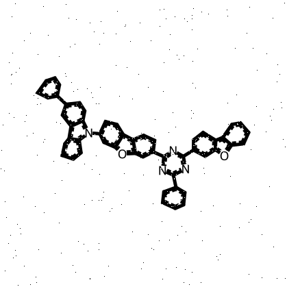 c1ccc(-c2ccc3c(c2)c2ccccc2n3-c2ccc3c(c2)oc2cc(-c4nc(-c5ccccc5)nc(-c5ccc6c(c5)oc5ccccc56)n4)ccc23)cc1